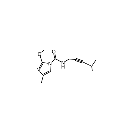 COc1nc(C)cn1C(=O)NCC#CC(C)C